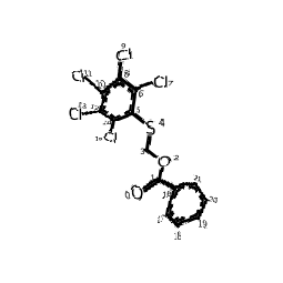 O=C(OCSc1c(Cl)c(Cl)c(Cl)c(Cl)c1Cl)c1ccccc1